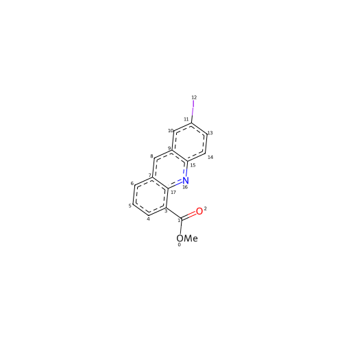 COC(=O)c1cccc2cc3cc(I)ccc3nc12